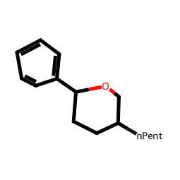 CCCCCC1CCC(c2ccccc2)OC1